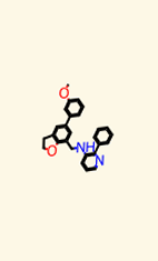 COc1cccc(-c2cc3c(c(CNc4cccnc4-c4ccccc4)c2)OCC3)c1